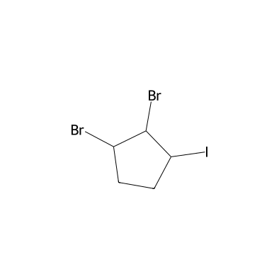 BrC1CCC(I)C1Br